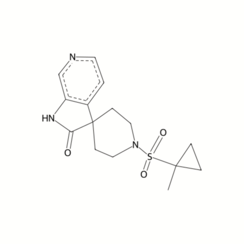 CC1(S(=O)(=O)N2CCC3(CC2)C(=O)Nc2cnccc23)CC1